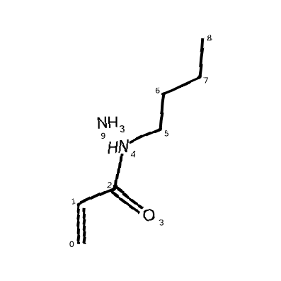 C=CC(=O)NCCCC.N